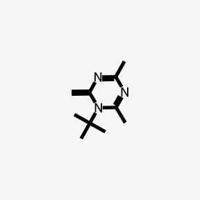 C=C1N=C(C)N=C(C)N1C(C)(C)C